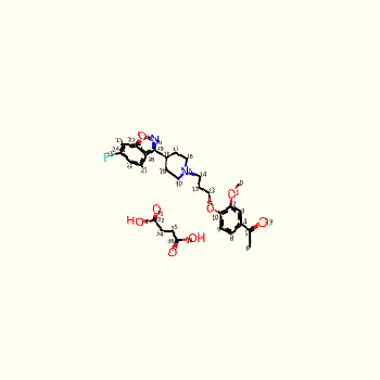 COc1cc(C(C)=O)ccc1OCCCN1CCC(c2noc3cc(F)ccc23)CC1.O=C(O)CCC(=O)O